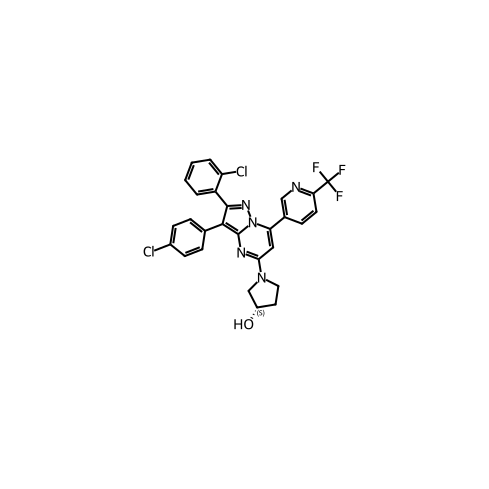 O[C@H]1CCN(c2cc(-c3ccc(C(F)(F)F)nc3)n3nc(-c4ccccc4Cl)c(-c4ccc(Cl)cc4)c3n2)C1